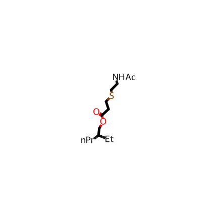 CCCC(CC)COC(=O)CCSCCNC(C)=O